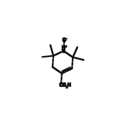 CC1(C)C=C(C(=O)O)CC(C)(C)[NH+]1[O-]